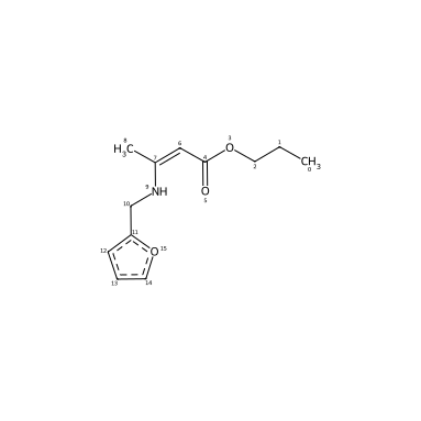 CCCOC(=O)/C=C(/C)NCc1ccco1